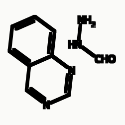 NNC=O.c1ccc2ncncc2c1